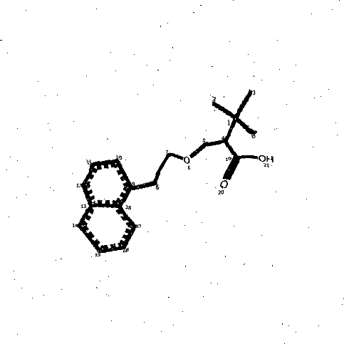 CC(C)(C)C(COCCc1cccc2ccccc12)C(=O)O